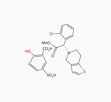 COC(=O)[C@H](c1ccccc1Cl)N1CCc2sccc2C1.O=C(O)c1cc(S(=O)(=O)O)ccc1O